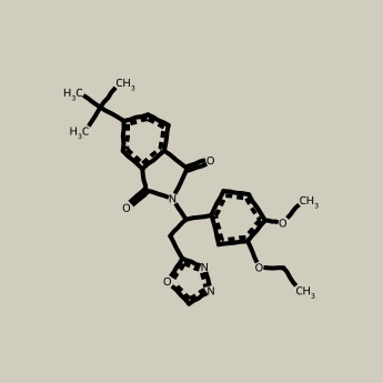 CCOc1cc(C(Cc2nnco2)N2C(=O)c3ccc(C(C)(C)C)cc3C2=O)ccc1OC